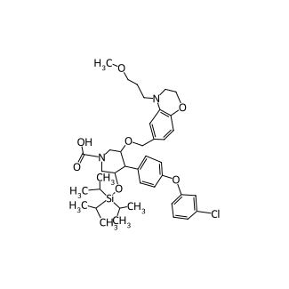 COCCCN1CCOc2ccc(COC3CN(C(=O)O)CC(O[Si](C(C)C)(C(C)C)C(C)C)C3c3ccc(Oc4cccc(Cl)c4)cc3)cc21